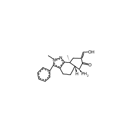 Cn1nc2c(c1-c1ccccc1)CC[C@H]1[C@H](P)C(=O)/C(=C\O)C[C@]21C